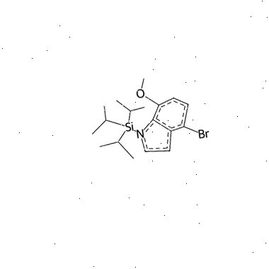 COc1ccc(Br)c2ccn([Si](C(C)C)(C(C)C)C(C)C)c12